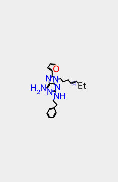 CC/C=C/CCCn1c(-c2ccco2)nc2c(N)nc(NCCc3ccccc3)nc21